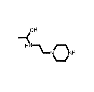 CC(O)NCCN1CCNCC1